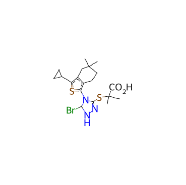 CC1(C)CCc2c(N3C(SC(C)(C)C(=O)O)=NNC3Br)sc(C3CC3)c2C1